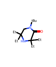 CCC1(CC)CN(C(C)(C)C)C(=O)C(CC)(CC)N1